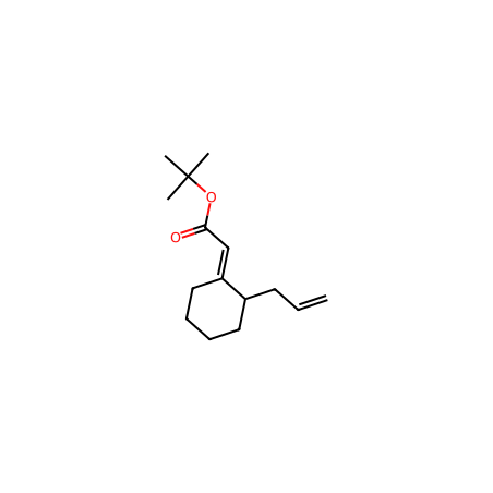 C=CCC1CCCCC1=CC(=O)OC(C)(C)C